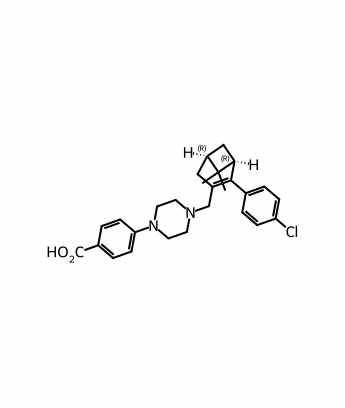 CC1(C)[C@H]2CC(CN3CCN(c4ccc(C(=O)O)cc4)CC3)=C(c3ccc(Cl)cc3)[C@@H]1C2